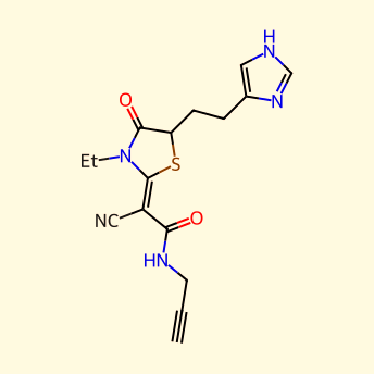 C#CCNC(=O)/C(C#N)=C1\SC(CCc2c[nH]cn2)C(=O)N1CC